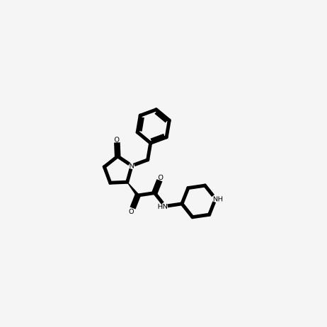 O=C(NC1CCNCC1)C(=O)[C@H]1CCC(=O)N1Cc1ccccc1